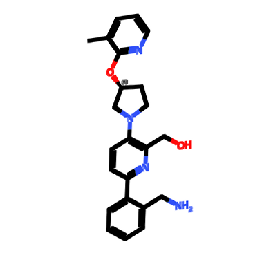 Cc1cccnc1O[C@H]1CCN(c2ccc(-c3ccccc3CN)nc2CO)C1